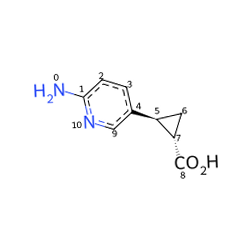 Nc1ccc([C@H]2C[C@@H]2C(=O)O)cn1